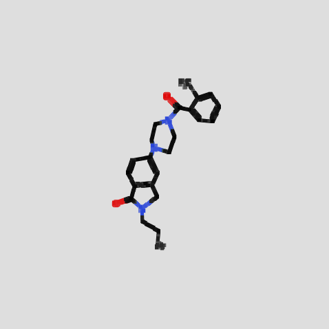 CC(C)CCN1Cc2cc(N3CCN(C(=O)c4ccccc4C(F)(F)F)CC3)ccc2C1=O